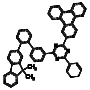 CC1(C)c2ccccc2-c2ccc(-c3ccccc3-c3cccc(-c4nc(C5=CCCC=C5)nc(-c5ccc6c7ccccc7c7ccccc7c6c5)n4)c3)cc21